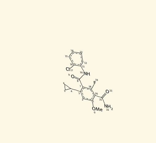 COc1cc(C2CC2)c(C(=O)Nc2ccccc2Cl)c(F)c1C(N)=O